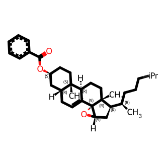 CC(C)CCC[C@@H](C)[C@H]1C[C@@H]2O[C@@]23C2=CC[C@@H]4C[C@@H](OC(=O)c5ccccc5)CC[C@]4(C)[C@H]2CC[C@]13C